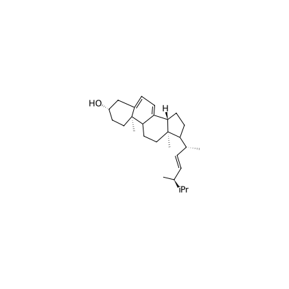 CC(C)[C@@H](C)/C=C/[C@@H](C)C1CC[C@H]2C3=CC=C4C[C@@H](O)CC[C@]4(C)C3CC[C@]12C